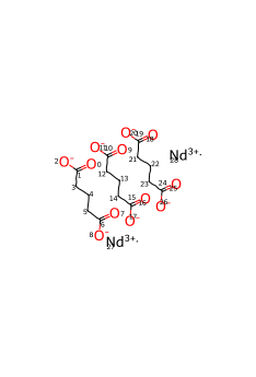 O=C([O-])CCCC(=O)[O-].O=C([O-])CCCC(=O)[O-].O=C([O-])CCCC(=O)[O-].[Nd+3].[Nd+3]